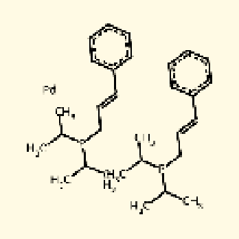 CC(C)P(CC=Cc1ccccc1)C(C)C.CC(C)P(CC=Cc1ccccc1)C(C)C.[Pd]